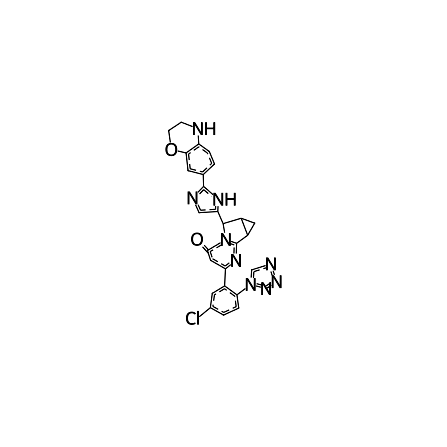 O=c1cc(-c2cc(Cl)ccc2-n2cnnn2)nc2n1C(c1cnc(-c3ccc4c(c3)OCCN4)[nH]1)C1CC21